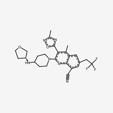 Cc1noc(-c2c(N3CCC(N[C@H]4CCOC4)CC3)nc3c(C#N)cc(CC(F)(F)F)cc3c2C)n1